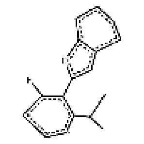 CC(C)c1[c]ccc(F)c1-c1cc2ccccc2o1